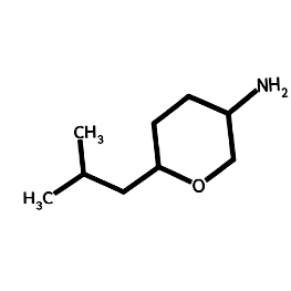 CC(C)CC1CCC(N)CO1